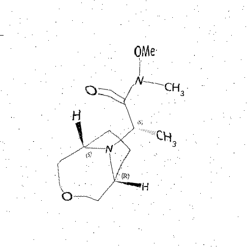 CON(C)C(=O)[C@H](C)N1[C@@H]2CC[C@H]1COC2